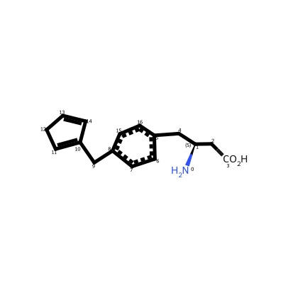 N[C@H](CC(=O)O)Cc1ccc(CC2=CCC=C2)cc1